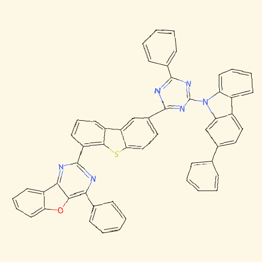 c1ccc(-c2ccc3c4ccccc4n(-c4nc(-c5ccccc5)nc(-c5ccc6sc7c(-c8nc(-c9ccccc9)c9oc%10ccccc%10c9n8)cccc7c6c5)n4)c3c2)cc1